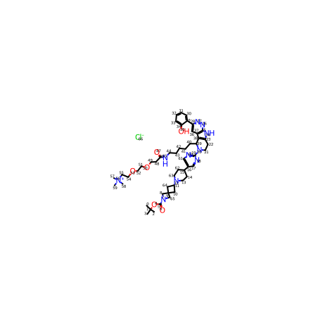 CC(C)(C)OC(=O)N1CC2(CC(N3CCC(c4cnc(N5CCc6[nH]c7nnc(-c8ccccc8O)cc7c6C5CCCCCNC(=O)CCOCCOCC[N+](C)(C)C)nc4)CC3)C2)C1.[Cl-]